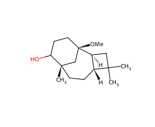 CO[C@@]12CCC(O)[C@@](C)(CC[C@@H]3[C@@H]1CC3(C)C)C2